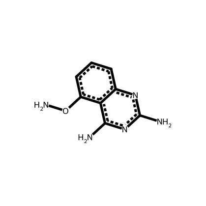 NOc1cccc2nc(N)nc(N)c12